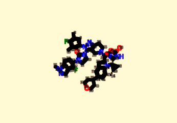 Cc1cc(-n2nc3c(c2-n2ccn(-c4ccc5c(cnn5C)c4F)c2=O)CN(C(=O)c2cc4cc(C5CCOCC5)ccc4n2[C@@]2(c4noc(=O)[nH]4)C[C@@H]2C)CC3)cc(C)c1F